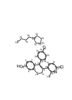 Oc1ccc2c(c1)SCC(c1ccc(Cl)nc1F)=C2c1ccc(O[C@H]2CCN(CCCF)C2)cc1